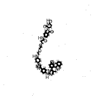 O=C1CCC(N2Cc3cc(NC(=O)CCOCCOCCN[C@H]4CC[C@@H](n5cc(-c6ccc(Nc7ncc8c(n7)-c7ccc(Cl)cc7C(c7c(F)cccc7F)=NC8)cc6)nn5)CC4)ccc3C2=O)C(=O)N1